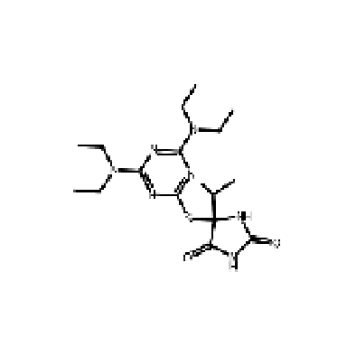 CCN(CC)c1nc(SC2(C(C)C)NC(=O)NC2=O)nc(N(CC)CC)n1